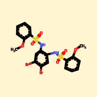 COc1ccccc1S(=O)(=O)Nc1cc(Br)c(Br)cc1NS(=O)(=O)c1ccccc1OC